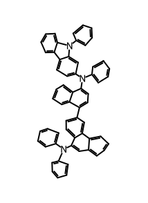 c1ccc(N(c2ccc3c4ccccc4n(-c4ccccc4)c3c2)c2ccc(-c3ccc4c(N(c5ccccc5)c5ccccc5)cc5ccccc5c4c3)c3ccccc23)cc1